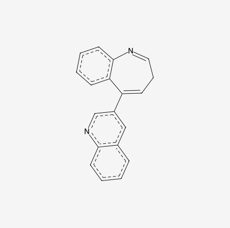 C1=Nc2ccccc2C(c2cnc3ccccc3c2)=CC1